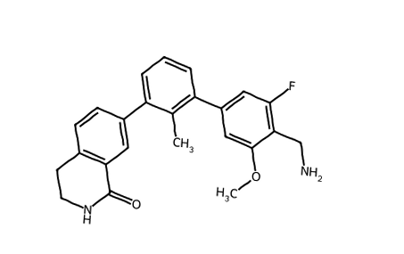 COc1cc(-c2cccc(-c3ccc4c(c3)C(=O)NCC4)c2C)cc(F)c1CN